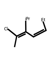 CC/C=C\C(=C(/C)Cl)C(C)C